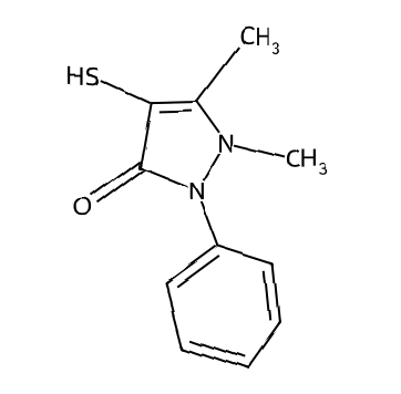 Cc1c(S)c(=O)n(-c2ccccc2)n1C